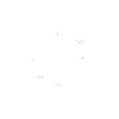 Cc1cc(C(C)NCc2ccccc2)c(C)cc1C(C)NCc1ccccc1